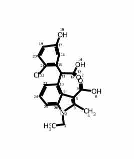 CCn1c(C)c(C(=O)O)c2c(C(C(=O)O)c3cc(O)ccc3Cl)cccc21